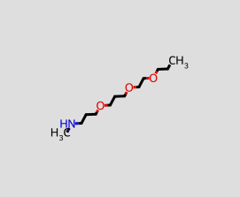 CCCOCCOCCCOCCCNC